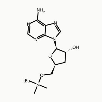 CC(C)(C)[Si](C)(C)OC[C@@H]1C[C@@H](O)[C@H](n2cnc3c(N)ncnc32)O1